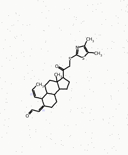 C/C=C\C1/C(=C\C=O)CCC2C1CCC1(C)C(C(=O)CSc3nc(C)c(C)s3)CCC21